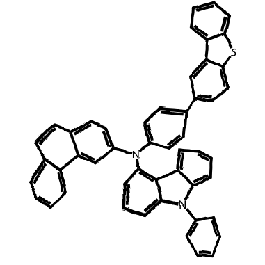 c1ccc(-n2c3ccccc3c3c(N(c4ccc(-c5ccc6sc7ccccc7c6c5)cc4)c4ccc5ccc6ccccc6c5c4)cccc32)cc1